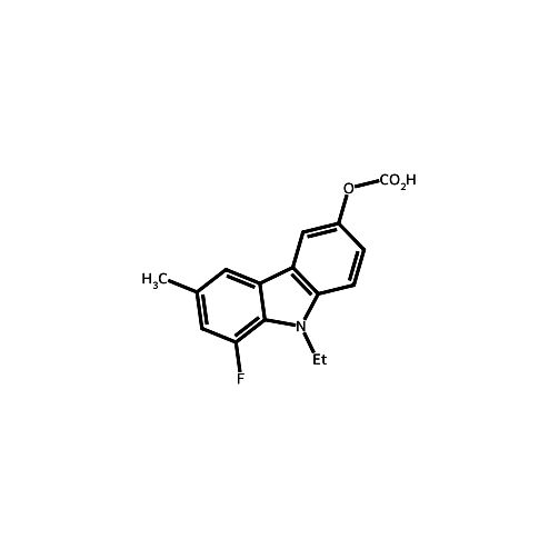 CCn1c2ccc(OC(=O)O)cc2c2cc(C)cc(F)c21